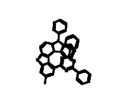 Cc1cc(-c2nc(-c3ccccc3)nc(-c3ccccc3)n2)c2c3c(oc2c1)C=CC1C3c2ccccc2N1c1ccccc1